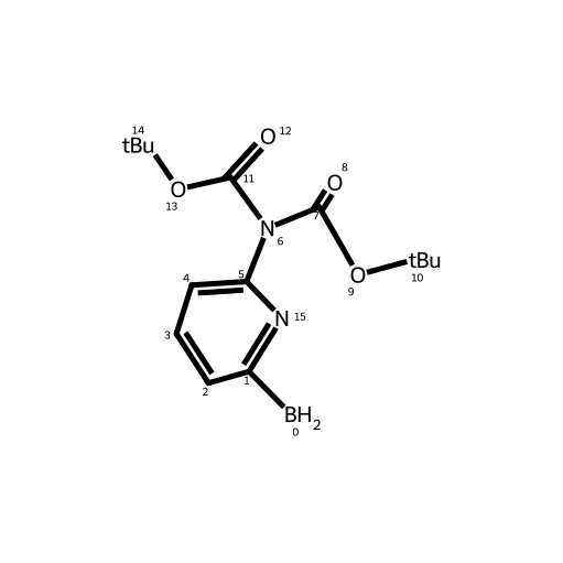 Bc1cccc(N(C(=O)OC(C)(C)C)C(=O)OC(C)(C)C)n1